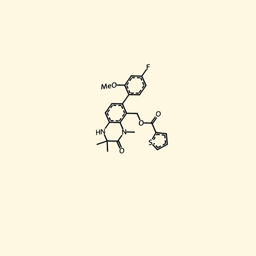 COc1cc(F)ccc1-c1ccc2c(c1COC(=O)c1cccs1)N(C)C(=O)C(C)(C)N2